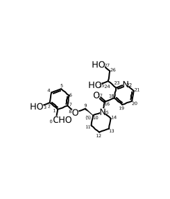 O=Cc1c(O)cccc1OC[C@@H]1CCCCN1C(=O)c1cccnc1C(O)CO